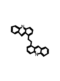 c1ccc2nc3cccc(CCc4cccc5nc6ccccc6cc45)c3cc2c1